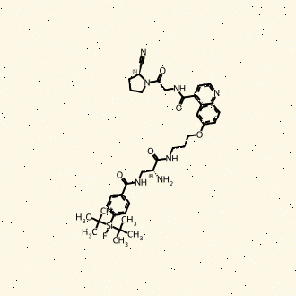 CC(C)(C)[Si](F)(c1ccc(C(=O)NC[C@@H](N)C(=O)NCCCOc2ccc3nccc(C(=O)NCC(=O)N4CCC[C@H]4C#N)c3c2)cc1)C(C)(C)C